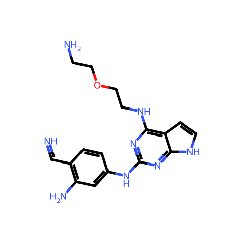 N=Cc1ccc(Nc2nc(NCCOCCN)c3cc[nH]c3n2)cc1N